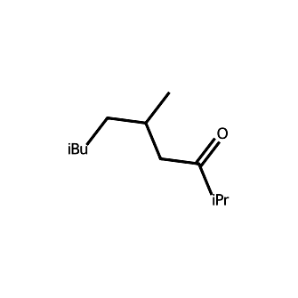 CCC(C)CC(C)CC(=O)C(C)C